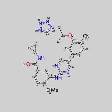 COc1ccc(C(=O)NC2CC2)cc1Nc1ncc(-c2ccc(C#N)c(OC(C)Cn3cnnn3)c2)cn1